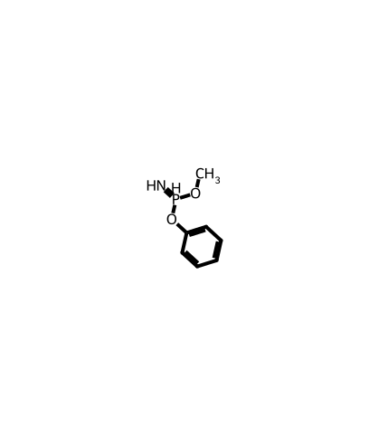 CO[PH](=N)Oc1ccccc1